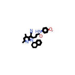 COc1ccc(NC(=O)/C=C/c2c(C#N)c3c(C)cc(C)nc3n2[C@H]2CCCc3ccccc32)cc1